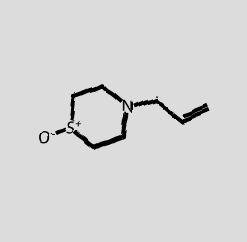 C=C[CH]N1CC[S+]([O-])CC1